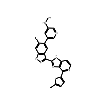 Cc1ccc(-c2nccc3[nH]c(-c4n[nH]c5cc(F)c(-c6cncc(NC(C)C)c6)cc45)nc23)s1